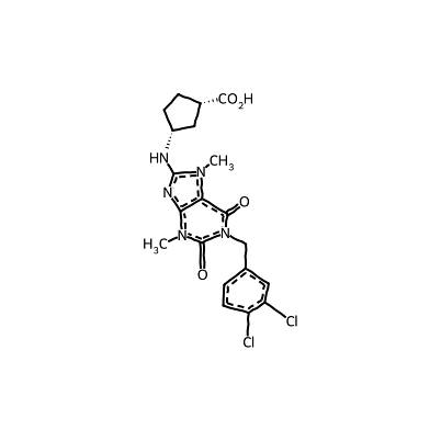 Cn1c(N[C@@H]2CC[C@H](C(=O)O)C2)nc2c1c(=O)n(Cc1ccc(Cl)c(Cl)c1)c(=O)n2C